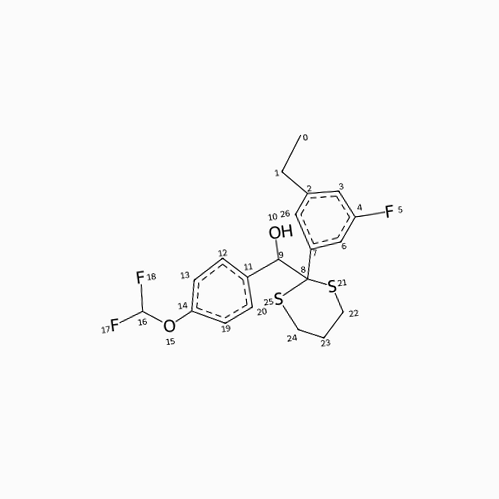 CCc1cc(F)cc(C2(C(O)c3ccc(OC(F)F)cc3)SCCCS2)c1